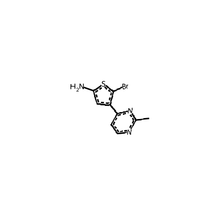 Cc1nccc(-c2cc(N)sc2Br)n1